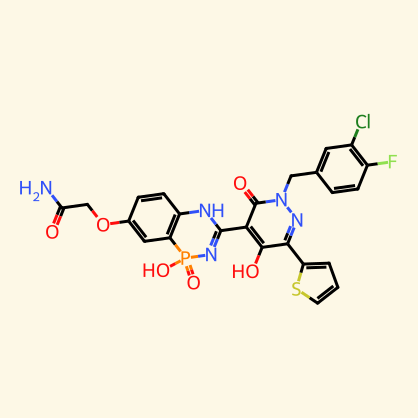 NC(=O)COc1ccc2c(c1)P(=O)(O)N=C(c1c(O)c(-c3cccs3)nn(Cc3ccc(F)c(Cl)c3)c1=O)N2